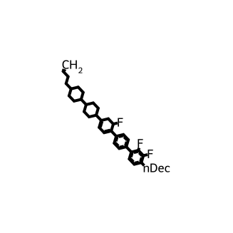 C=CCCC1CCC(C2CCC(C3=CC=C(c4ccc(-c5ccc(CCCCCCCCCC)c(F)c5F)cc4)C(F)C3)CC2)CC1